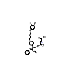 CCSC(=Nc1ccccc1)N(C)C1CCN(CCCCOc2ccc(F)c(F)c2)CC1.O=C(O)/C=C/C(=O)O